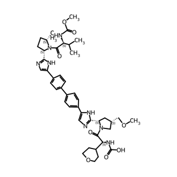 COC[C@H]1C[C@@H](c2ncc(-c3ccc(-c4ccc(-c5cnc([C@@H]6CC[C@H](C)N6C(=O)[C@@H](NC(=O)OC)C(C)C)[nH]5)cc4)cc3)[nH]2)N(C(=O)[C@@H](NC(=O)O)C2CCOCC2)C1